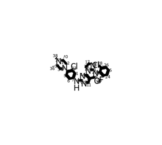 C[C@@H]1CN(c2ccc(Nc3ncc4c(n3)N3CCN=C3N(c3c(F)cccc3Cl)C4=O)cc2Cl)C[C@H](C)N1C